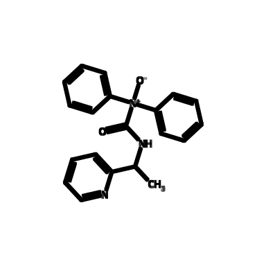 CC(NC(=O)[N+]([O-])(c1ccccc1)c1ccccc1)c1ccccn1